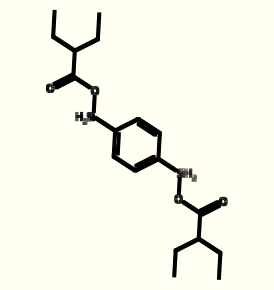 CCC(CC)C(=O)O[SiH2]c1ccc([SiH2]OC(=O)C(CC)CC)cc1